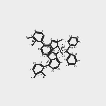 CC1=Cc2c(-c3cccc(C)c3C)cccc2[CH]1[Zr]([Cl])([Cl])([CH]1C(C)=Cc2c(-c3cccc(C)c3C)cccc21)[SiH](c1ccccc1)c1ccccc1